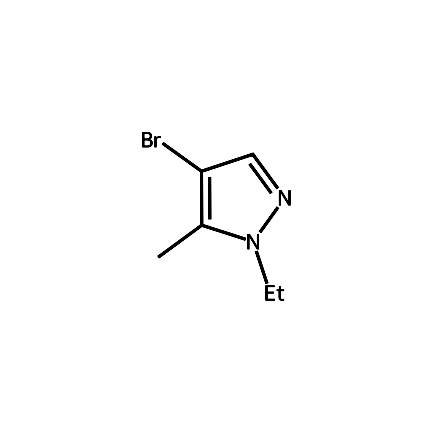 CCn1ncc(Br)c1C